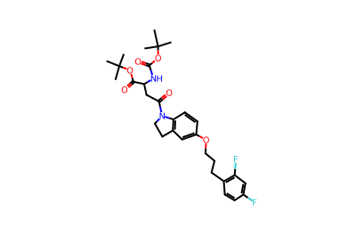 CC(C)(C)OC(=O)NC(CC(=O)N1CCc2cc(OCCCc3ccc(F)cc3F)ccc21)C(=O)OC(C)(C)C